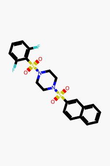 O=S(=O)(c1ccc2ccccc2c1)N1CCN(S(=O)(=O)c2c(F)cccc2F)CC1